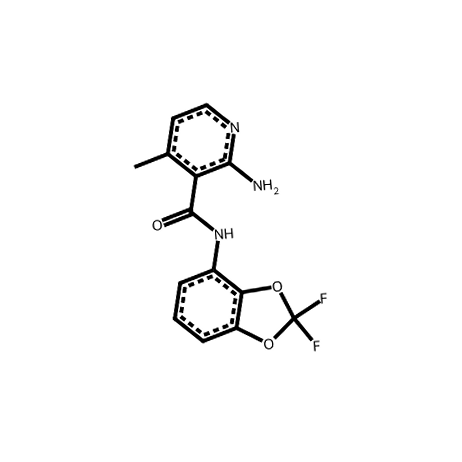 Cc1ccnc(N)c1C(=O)Nc1cccc2c1OC(F)(F)O2